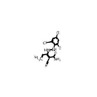 CCC(NNc1c(Cl)cc(Cl)cc1Cl)=C(C#N)C(N)=O